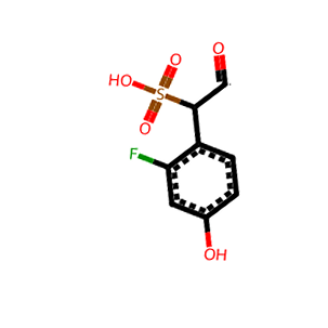 O=[C]C(c1ccc(O)cc1F)S(=O)(=O)O